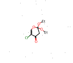 CCOC1(OCC)CC(=O)C(Cl)=CO1